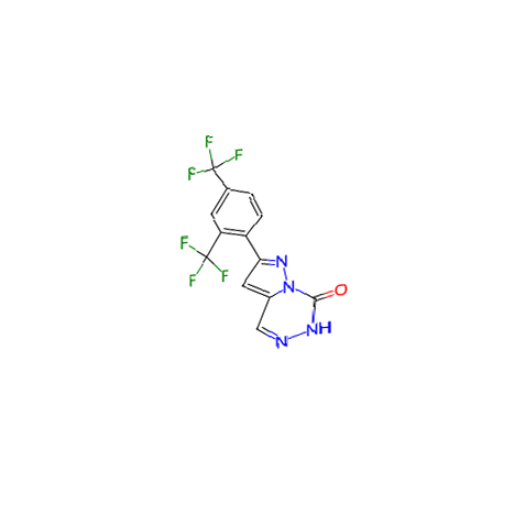 O=c1[nH]ncc2cc(-c3ccc(C(F)(F)F)cc3C(F)(F)F)nn12